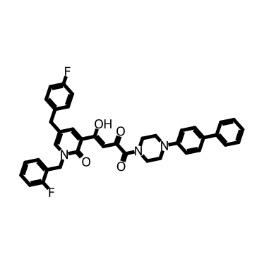 O=C(C=C(O)c1cc(Cc2ccc(F)cc2)cn(Cc2ccccc2F)c1=O)C(=O)N1CCN(c2ccc(-c3ccccc3)cc2)CC1